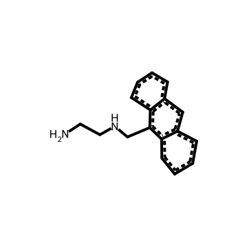 NCCNCc1c2ccccc2cc2ccccc12